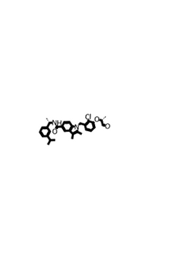 Cc1c(C)n(Cc2cccc(O[C@H](C)C=O)c2Cl)c2ccc(C(=O)N[C@@H](C)c3cccc(C(C)C)c3)cc12